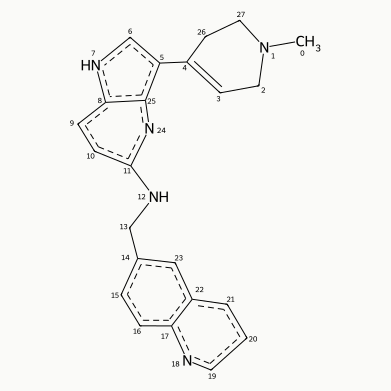 CN1CC=C(c2c[nH]c3ccc(NCc4ccc5ncccc5c4)nc23)CC1